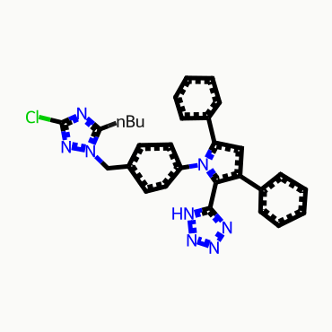 CCCCc1nc(Cl)nn1Cc1ccc(-n2c(-c3ccccc3)cc(-c3ccccc3)c2-c2nnn[nH]2)cc1